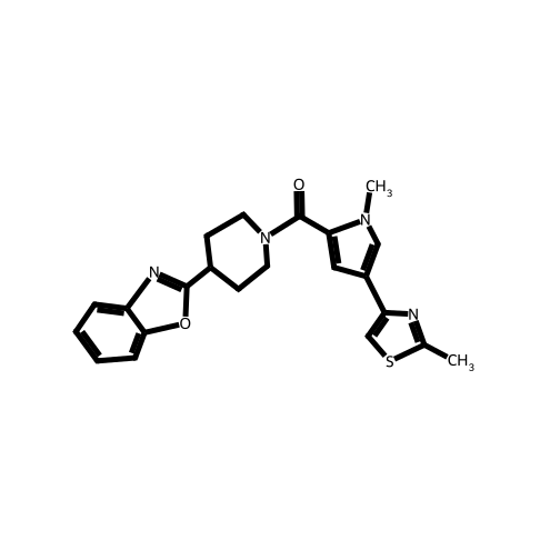 Cc1nc(-c2cc(C(=O)N3CCC(c4nc5ccccc5o4)CC3)n(C)c2)cs1